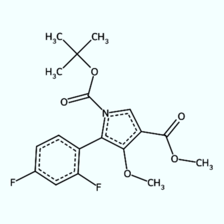 COC(=O)c1cn(C(=O)OC(C)(C)C)c(-c2ccc(F)cc2F)c1OC